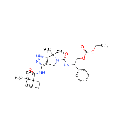 CCOC(=O)OC[C@@H](NC(=O)N1Cc2c(NC(=O)C3([Si](C)(C)C)CCC3)n[nH]c2C1(C)C)c1ccccc1